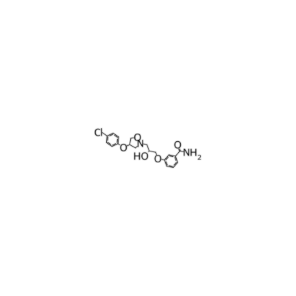 NC(=O)c1cccc(OC[C@H](O)CN2C[C@@H](Oc3ccc(Cl)cc3)CO2)c1